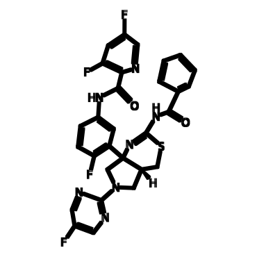 O=C(NC1=NC2(c3cc(NC(=O)c4ncc(F)cc4F)ccc3F)CN(c3ncc(F)cn3)C[C@H]2CS1)c1ccccc1